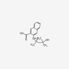 CC(C)(O)CC(C)(C)Oc1cc2ccccc2cc1C(=O)O